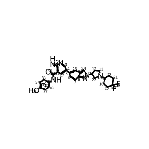 Nc1ncc(-c2ccc3nn(C4CCN(C5CCC(F)(F)CC5)C4)cc3c2)cc1C(=O)NC12CCC(O)(CC1)CC2